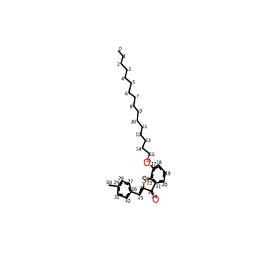 CCCCCCCCCCCCCCCCOc1cccc2c1SC(=Cc1ccc(C)cc1)C2=O